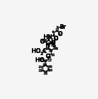 O=C(CBr)CC(=O)NC1C(=O)N2C(C(=O)O)=C(COCC(O)c3ccccc3)CS[C@@H]12